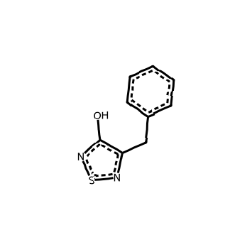 Oc1nsnc1Cc1ccccc1